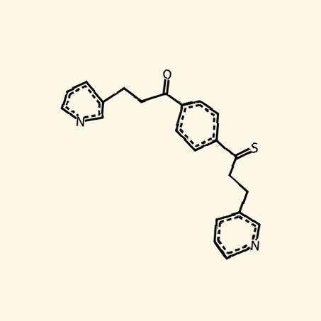 O=C(CCc1cccnc1)c1ccc(C(=S)CCc2cccnc2)cc1